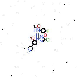 C=CC(=O)Nc1ccc(F)c(Oc2nc(Nc3ccc(C4CCN(C)CC4)cc3OC)ncc2Cl)c1